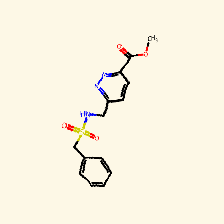 COC(=O)c1ccc(CNS(=O)(=O)Cc2ccccc2)nn1